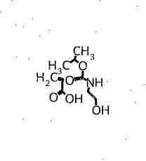 C=CC(=O)O.CC(C)OC(=O)NCCO